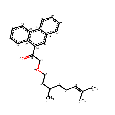 CC(C)=CCCC(C)CCOCC(=O)c1cc2ccccc2c2ccccc12